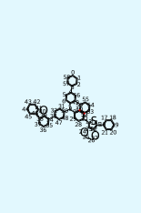 c1ccc(-c2ccc(C(c3ccc(-c4sc(-c5ccccc5)c5c4OCCO5)cc3)c3ccc(-c4cccc5c4oc4ccccc45)cc3)c(-c3ccccc3)c2)cc1